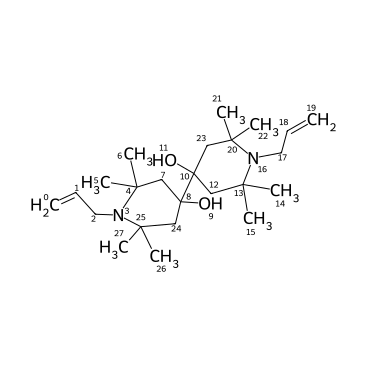 C=CCN1C(C)(C)CC(O)(C2(O)CC(C)(C)N(CC=C)C(C)(C)C2)CC1(C)C